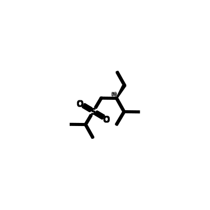 CC[C@H](CS(=O)(=O)C(C)C)C(C)C